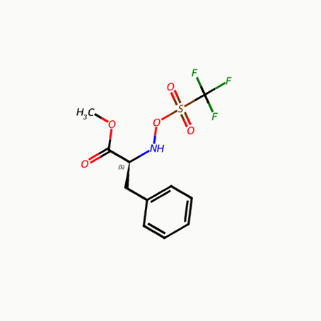 COC(=O)[C@H](Cc1ccccc1)NOS(=O)(=O)C(F)(F)F